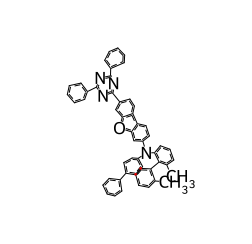 Cc1ccccc1-c1c(C)cccc1N(c1ccc(-c2ccccc2)cc1)c1ccc2c(c1)oc1cc(-c3nc(-c4ccccc4)nc(-c4ccccc4)n3)ccc12